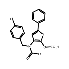 CCC(=O)N(Cc1ccc(Cl)cc1)c1cc(-c2ccccc2)sc1OC(=O)O